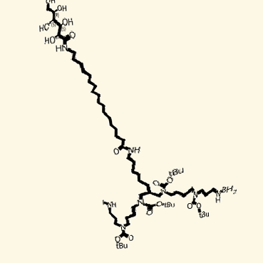 BNCCCN(CCCCN(CC(CCCCCCNC(=O)CCCCCCCCCCCCCCCCCNC(=O)[C@@H](O)[C@@H](O)[C@@H](O)[C@H](O)CO)CN(CCCCN(CCCNI)C(=O)OC(C)(C)C)C(=O)OC(C)(C)C)C(=O)OC(C)(C)C)C(=O)OC(C)(C)C